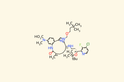 C[C@@H]1CCC[C@H](NCC[C@@H](O[Si](C)(C)C(C)(C)C)c2nccc(Cl)c2F)c2nc(cn2COCC[Si](C)(C)C)-c2ccc(N(C)C(=O)O)cc2NC1=O